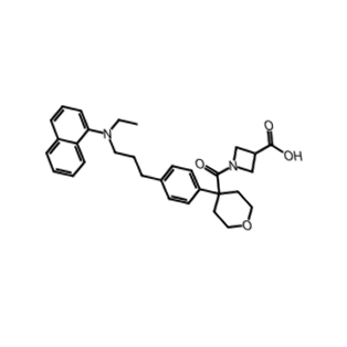 CCN(CCCc1ccc(C2(C(=O)N3CC(C(=O)O)C3)CCOCC2)cc1)c1cccc2ccccc12